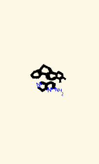 Cc1ccc2c3c(ccc2c1C)C1=C(CCC=C1)CC3.Nc1ccc2cnccc2n1